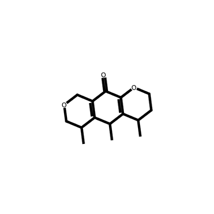 CC1COCC2=C1C(C)C1=C(OCCC1C)C2=O